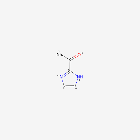 O=[C]([Na])c1ncc[nH]1